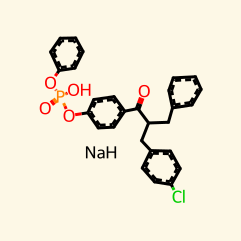 O=C(c1ccc(OP(=O)(O)Oc2ccccc2)cc1)C(Cc1ccccc1)Cc1ccc(Cl)cc1.[NaH]